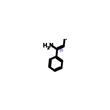 [CH2]/C=C(\N)c1ccccc1